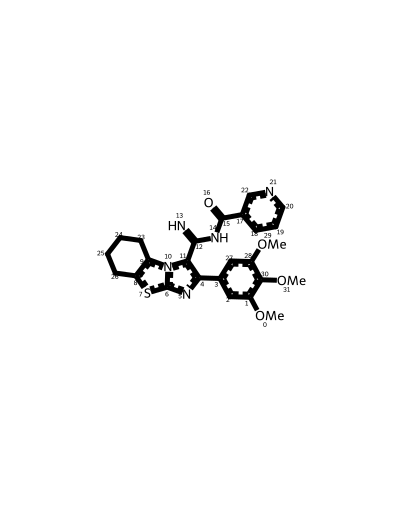 COc1cc(-c2nc3sc4c(n3c2C(=N)NC(=O)c2cccnc2)CCCC4)cc(OC)c1OC